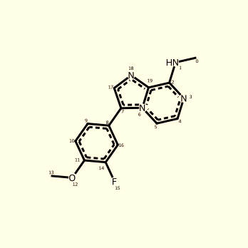 CNc1nccn2c(-c3ccc(OC)c(F)c3)cnc12